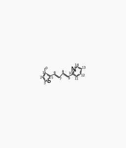 Cc1ccsc1C=CC=Cc1ccccn1